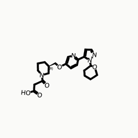 O=C(O)CC(=O)N1CCC[C@@H](COc2ccc(-c3ccnn3C3CCCCO3)nc2)C1